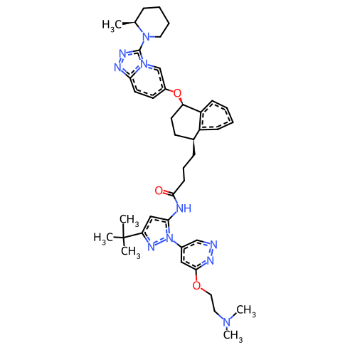 C[C@H]1CCCCN1c1nnc2ccc(O[C@@H]3CC[C@H](CCCC(=O)Nc4cc(C(C)(C)C)nn4-c4cnnc(OCCN(C)C)c4)c4ccccc43)cn12